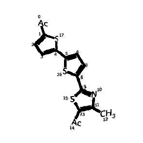 CC(=O)c1ccc(-c2ccc(-c3nc(C)c(C(C)=O)s3)s2)s1